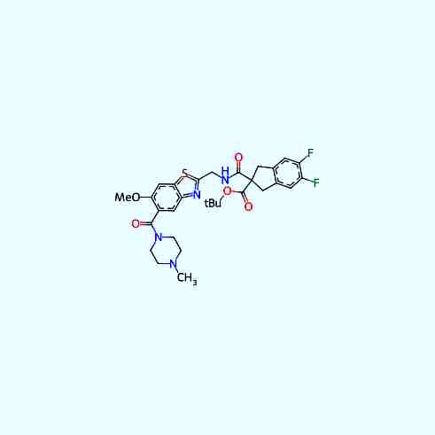 COc1cc2sc(CNC(=O)C3(C(=O)OC(C)(C)C)Cc4cc(F)c(F)cc4C3)nc2cc1C(=O)N1CCN(C)CC1